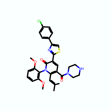 COc1cccc(OC)c1-n1c(C=C(C)C)c(C(=O)N2CCNCC2)cc(-c2nc(-c3ccc(Cl)cc3)cs2)c1=O